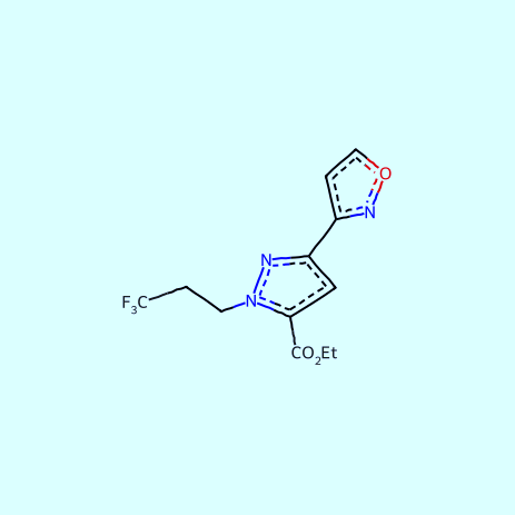 CCOC(=O)c1cc(-c2ccon2)nn1CCC(F)(F)F